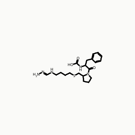 NN=CNCCCCSCC1CCCN1C(=O)C(Cc1ccccc1)NC(=O)O